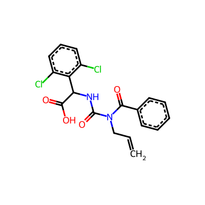 C=CCN(C(=O)NC(C(=O)O)c1c(Cl)cccc1Cl)C(=O)c1ccccc1